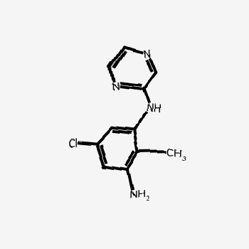 Cc1c(N)cc(Cl)cc1Nc1cnccn1